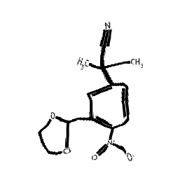 CC(C)(C#N)c1ccc([N+](=O)[O-])c(C2OCCO2)c1